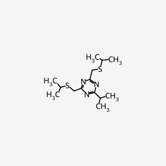 CC(C)SCc1nc(CSC(C)C)nc(C(C)C)n1